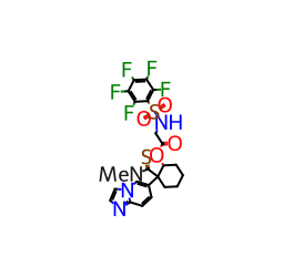 CNC(=S)C1(c2ccc3nccn3c2)CCCCC1OC(=O)CNS(=O)(=O)c1c(F)c(F)c(F)c(F)c1F